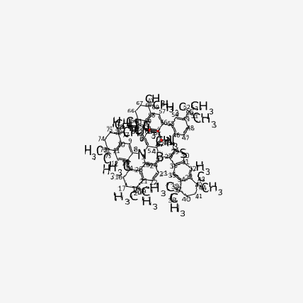 Cc1cc2c3c(c1)N1c4cc5c(cc4C4(C)CCC(C)(C)c6ccc(c1c64)B3c1c(sc3cc4c(cc13)C(C)(C)CCC4(C)C)N2c1ccc(C(C)(C)C)cc1-c1cc2c(cc1C)C(C)(C)CCC2(C)C)C(C)(C)CCC5(C)C